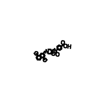 COc1cc(CN2CCC3(CC2)CN(c2ccc(C(=O)O)cc2)C(=O)O3)cc2c(OC)cccc12